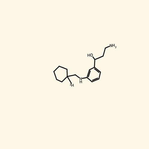 [2H]C1(CNc2cccc(C(O)CCN)c2)CCCCC1